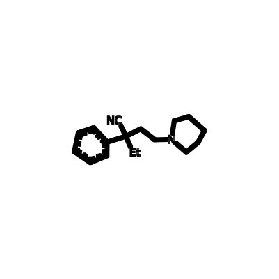 CCC(C#N)(CCN1CCCCC1)c1ccccc1